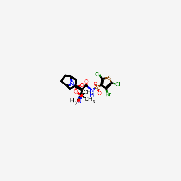 CC(C)(C)OC(=O)N1C2CCC1CC(=C(C#N)C(=O)NS(=O)(=O)c1c(Cl)sc(Cl)c1Br)C2